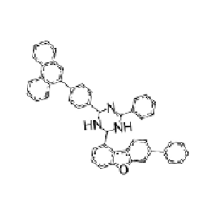 c1ccc(C2=NC(c3ccc(-c4cc5ccccc5c5ccccc45)cc3)NC(c3cccc4oc5cc(-c6ccccc6)ccc5c34)N2)cc1